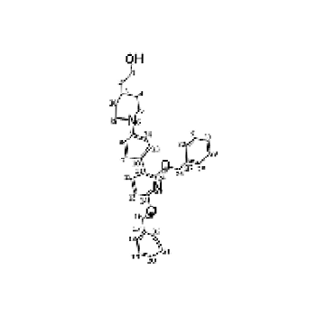 OCCC1CCN(c2ccc(-c3ccc(OCc4ccccc4)nc3OCc3ccccc3)cc2)CC1